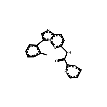 O=C(Nc1ccc2ncc(-c3ccccc3F)n2n1)c1ncccn1